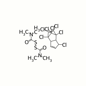 CN(C)C(=O)SSC(=O)N(C)C.ClC1=C(Cl)C2(Cl)C3C(Cl)C=CC3C1(Cl)C2(Cl)Cl